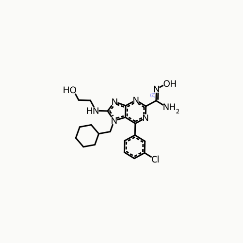 N/C(=N\O)c1nc(-c2cccc(Cl)c2)c2c(n1)nc(NCCO)n2CC1CCCCC1